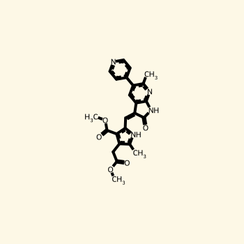 COC(=O)Cc1c(C)[nH]c(C=C2C(=O)Nc3nc(C)c(-c4ccncc4)cc32)c1C(=O)OC